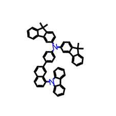 CC1(C)c2ccccc2-c2cc(N(c3ccc(-c4ccc5cccc(-n6c7ccccc7c7ccccc76)c5c4)cc3)c3ccc4c(c3)-c3ccccc3C4(C)C)ccc21